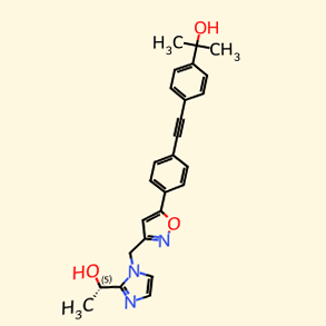 C[C@H](O)c1nccn1Cc1cc(-c2ccc(C#Cc3ccc(C(C)(C)O)cc3)cc2)on1